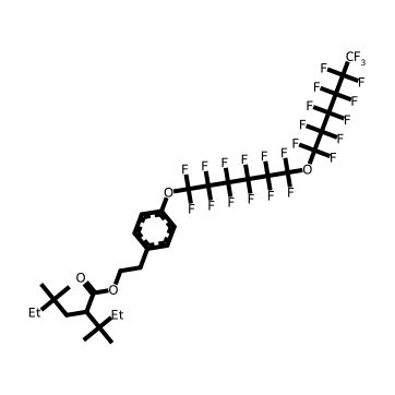 CCC(C)(C)CC(C(=O)OCCc1ccc(OC(F)(F)C(F)(F)C(F)(F)C(F)(F)C(F)(F)C(F)(F)OC(F)(F)C(F)(F)C(F)(F)C(F)(F)C(F)(F)C(F)(F)F)cc1)C(C)(C)CC